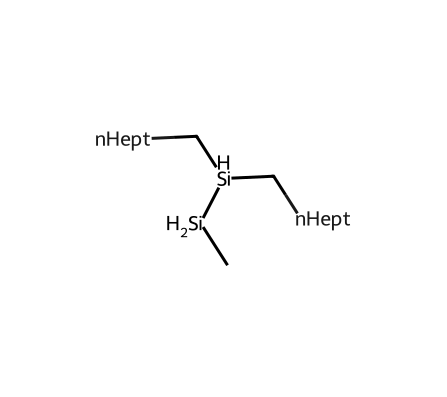 CCCCCCCC[SiH](CCCCCCCC)[SiH2]C